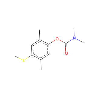 CSc1cc(C)c(OC(=O)N(C)C)cc1C